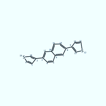 c1cc(-c2ccc3cc(-c4ccsc4)ccc3c2)cs1